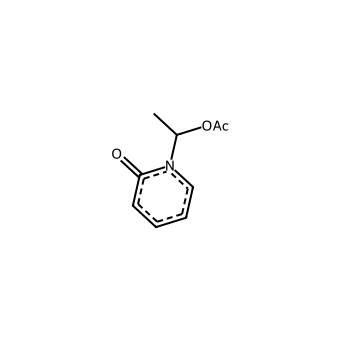 CC(=O)OC(C)n1ccccc1=O